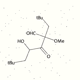 COC([C]=O)(CC(C)(C)C)C(=O)C(O)CC(C)(C)C